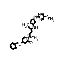 C=N/C(=C\C=C(/C)n1ccc(OCc2ccccc2)cc1=O)N[C@H]1CC[C@H](Nc2ncc(SC)cn2)C1